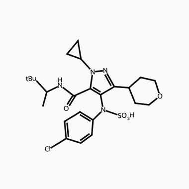 CC(NC(=O)c1c(N(c2ccc(Cl)cc2)S(=O)(=O)O)c(C2CCOCC2)nn1C1CC1)C(C)(C)C